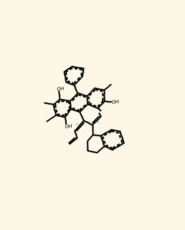 C=C/C=C(\C(=C/C)C1CCCc2ccccc21)c1c2c(C)c(O)c(C)cc2c(-c2ccccc2)c2c(O)c(C)c(C)c(O)c12